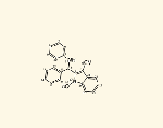 N#Cc1c(C(Nc2ccccc2)c2ccccc2)n(O)c2ccccc12